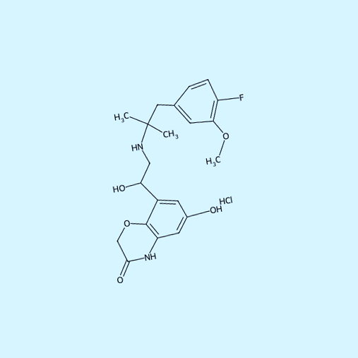 COc1cc(CC(C)(C)NCC(O)c2cc(O)cc3c2OCC(=O)N3)ccc1F.Cl